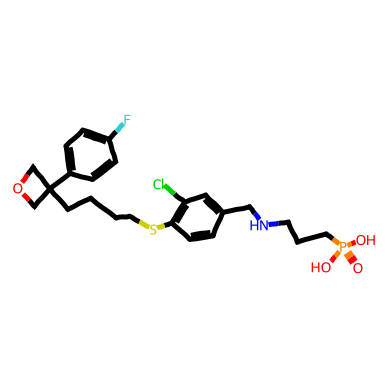 O=P(O)(O)CCCNCc1ccc(SCCCCC2(c3ccc(F)cc3)COC2)c(Cl)c1